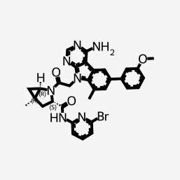 COc1cccc(-c2cc(C)c3c(c2)c2c(N)ncnc2n3CC(=O)N2[C@H](C(=O)Nc3cccc(Br)n3)C[C@@]3(C)C[C@@H]23)c1